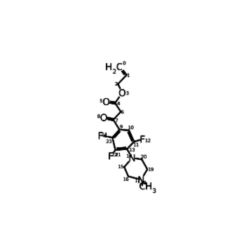 C=CCOC(=O)CC(=O)c1cc(F)c(N2CCN(C)CC2)c(F)c1F